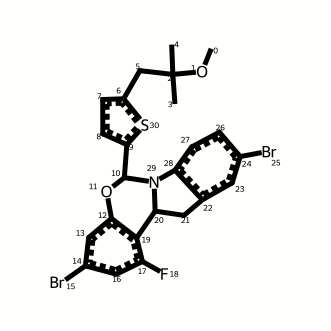 COC(C)(C)Cc1ccc(C2Oc3cc(Br)cc(F)c3C3Cc4cc(Br)ccc4N32)s1